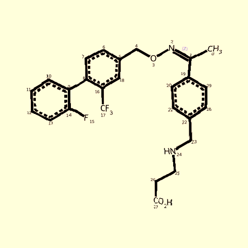 C/C(=N/OCc1ccc(-c2ccccc2F)c(C(F)(F)F)c1)c1ccc(CNCCC(=O)O)cc1